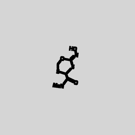 CNC(=O)C1SCO/C(=N\O)S1